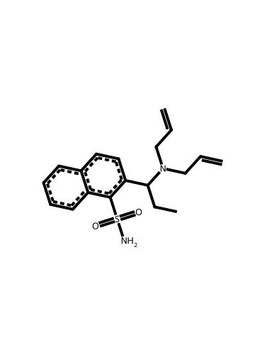 C=CCN(CC=C)C(CC)c1ccc2ccccc2c1S(N)(=O)=O